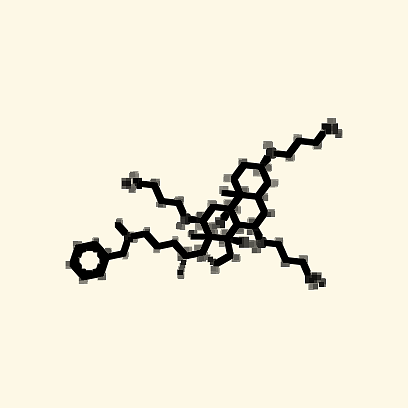 C[C@H](CCCN(C)Cc1ccccc1)[C@H]1CC[C@H]2C3[C@H](OCCCN)CC4C[C@H](OCCCN)CCC4(C)[C@H]3C[C@H](OCCCN)C12C